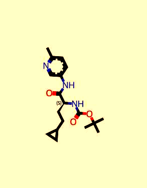 Cc1ccc(NC(=O)[C@H](CCC2CC2)NC(=O)OC(C)(C)C)cn1